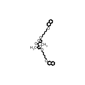 Cc1cc(OCCCCCCOc2ccc3ccccc3c2)oc1C(=O)c1oc(OCCCCCCOc2ccc3ccccc3c2)cc1C